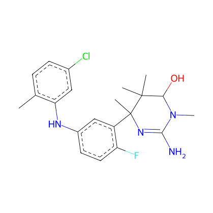 Cc1ccc(Cl)cc1Nc1ccc(F)c(C2(C)N=C(N)N(C)C(O)C2(C)C)c1